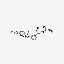 COc1ccc(C(=O)Nc2cccc([C@H](CF)CCOC(=N)N)c2)nc1